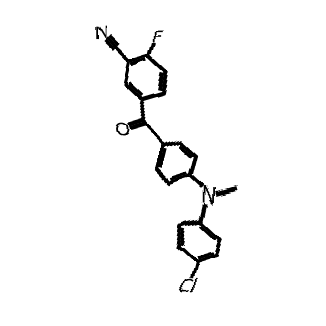 CN(c1ccc(Cl)cc1)c1ccc(C(=O)c2ccc(F)c(C#N)c2)cc1